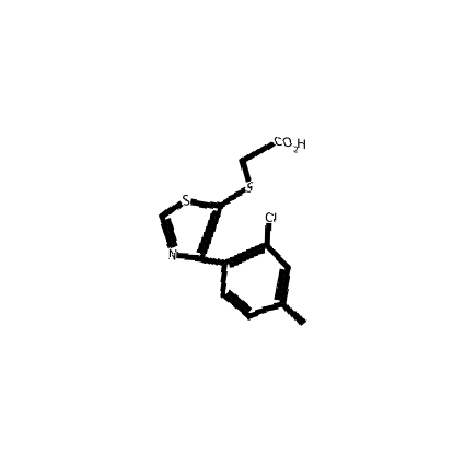 Cc1ccc(-c2ncsc2SCC(=O)O)c(Cl)c1